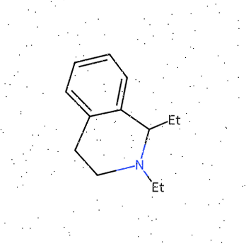 CCC1c2ccccc2CCN1CC